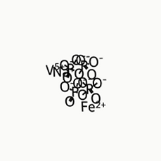 O=P([O-])([O-])OP(=O)([O-])[O-].O=P([O-])([O-])OP(=O)([O-])[O-].[Fe+2].[Na+].[V+5]